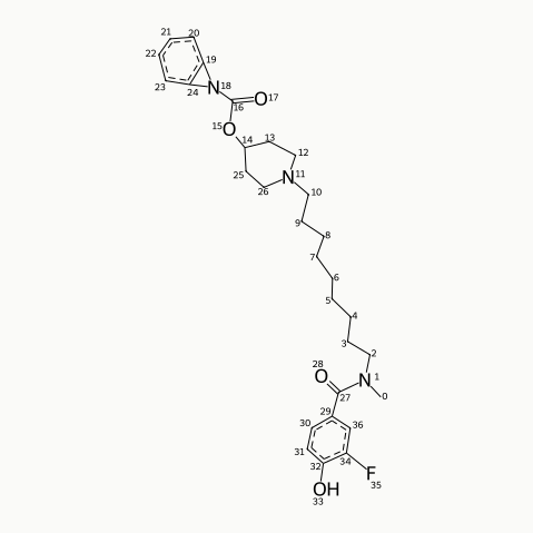 CN(CCCCCCCCCN1CCC(OC(=O)N2c3ccccc32)CC1)C(=O)c1ccc(O)c(F)c1